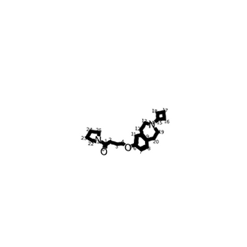 O=C(CCCOc1ccc2c(c1)CCN(C1CCC1)CC2)N1CCCC1